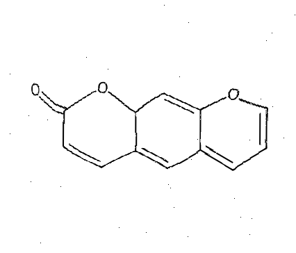 O=C1C=CC2=CC3=CC=COC3=CC2O1